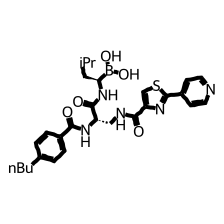 CCCCc1ccc(C(=O)N[C@@H](CNC(=O)c2csc(-c3ccncc3)n2)C(=O)N[C@@H](CC(C)C)B(O)O)cc1